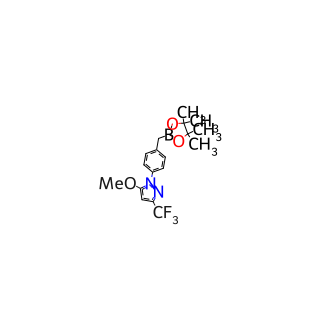 COc1cc(C(F)(F)F)nn1-c1ccc(CB2OC(C)(C)C(C)(C)O2)cc1